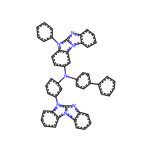 c1ccc(-c2ccc(N(c3cccc(-n4c5ccccc5n5c6ccccc6nc45)c3)c3ccc4c(c3)n3c5ccccc5nc3n4-c3ccccc3)cc2)cc1